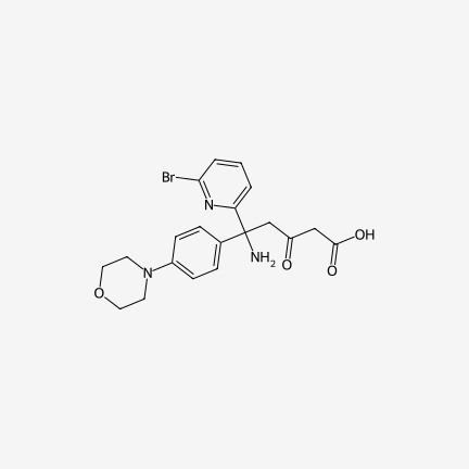 NC(CC(=O)CC(=O)O)(c1ccc(N2CCOCC2)cc1)c1cccc(Br)n1